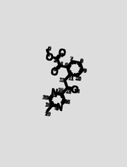 COC(=O)C(=O)c1ccccc1CC(=O)c1cnc(C)cn1